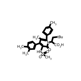 Cc1ccc(-c2c(C)c(-c3ccc(C)c(C)c3)c(NS(C)(=O)=O)c(=O)n2C(CC(C)(C)C)C(=O)O)cc1